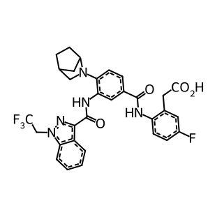 O=C(O)Cc1cc(F)ccc1NC(=O)c1ccc(N2CC3CCC2C3)c(NC(=O)c2nn(CC(F)(F)F)c3ccccc23)c1